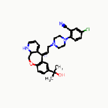 CC(C)(O)c1ccc2c(c1)/C(=C/CN1CCN(c3ccc(Cl)cc3C#N)CC1)C1=CC=CNC1CO2